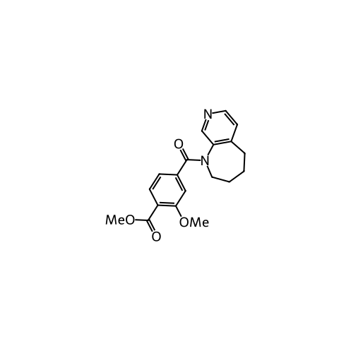 COC(=O)c1ccc(C(=O)N2CCCCc3ccncc32)cc1OC